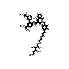 C=C1C(C(=O)Nc2ccc(C(C)C)cc2-c2cc(C(C)(F)F)ncn2)=C(O)C2(CCCC2)N(C)N1Cc1ccc(CCCOCCNCC(O)C(N=O)C(O)CCO)c(F)c1F